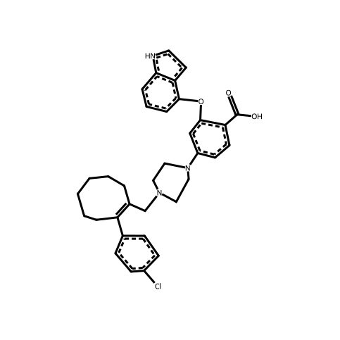 O=C(O)c1ccc(N2CCN(CC3=C(c4ccc(Cl)cc4)CCCCCC3)CC2)cc1Oc1cccc2[nH]ccc12